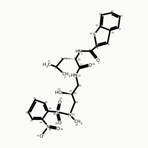 CC(C)C[C@H](NC(=O)c1cc2ccccc2s1)C(=O)NC[C@H](O)CN(C)S(=O)(=O)c1ccccc1[N+](=O)[O-]